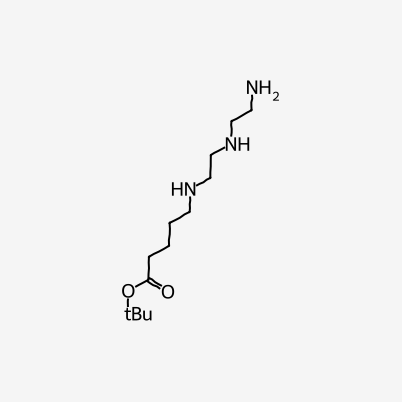 CC(C)(C)OC(=O)CCCCNCCNCCN